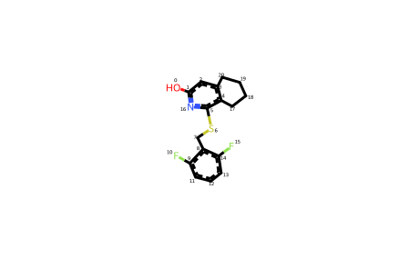 Oc1cc2c(c(SCc3c(F)cccc3F)n1)CCCC2